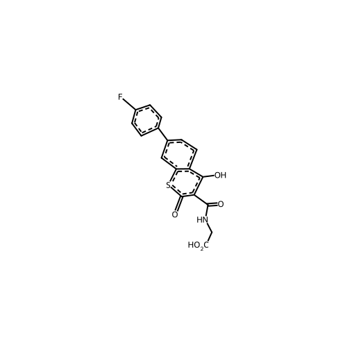 O=C(O)CNC(=O)c1c(O)c2ccc(-c3ccc(F)cc3)cc2sc1=O